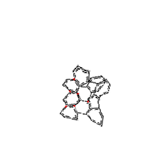 c1ccc(Cc2ccccc2-c2ccccc2Cc2ccccc2-c2cccc3c2sc2c(-c4ccccc4)cccc23)cc1